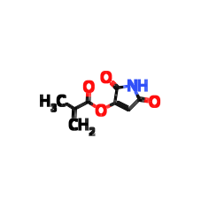 C=C(C)C(=O)OC1=CC(=O)NC1=O